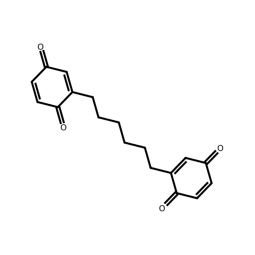 O=C1C=CC(=O)C(CCCCCCC2=CC(=O)C=CC2=O)=C1